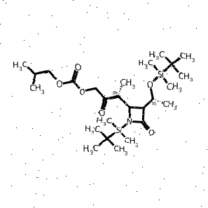 CC(C)COC(=O)OCC(=O)[C@H](C)C1C([C@@H](C)O[Si](C)(C)C(C)(C)C)C(=O)N1[Si](C)(C)C(C)(C)C